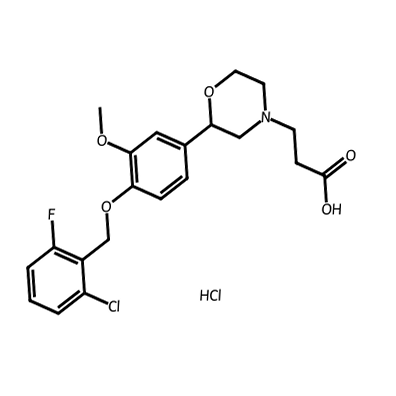 COc1cc(C2CN(CCC(=O)O)CCO2)ccc1OCc1c(F)cccc1Cl.Cl